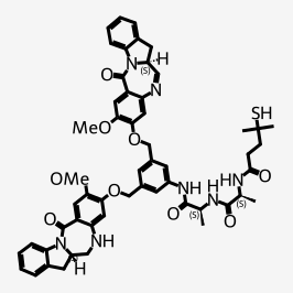 COc1cc2c(cc1OCc1cc(COc3cc4c(cc3OC)C(=O)N3c5ccccc5C[C@H]3CN4)cc(NC(=O)[C@H](C)NC(=O)[C@H](C)NC(=O)CCC(C)(C)S)c1)N=C[C@@H]1Cc3ccccc3N1C2=O